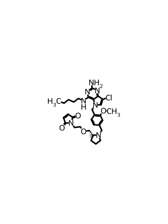 CCCCCNc1nc(N)nc2c(Cl)cn(Cc3ccc(CN4CCC[C@H]4COCCN4C(=O)C=CC4=O)cc3OC)c12